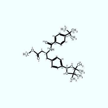 COC(=O)C[C@H](Cc1ccc(B2OC(C)(C)C(C)(C)O2)cc1)NC(=O)c1ccc(C(C)(C)C)cc1